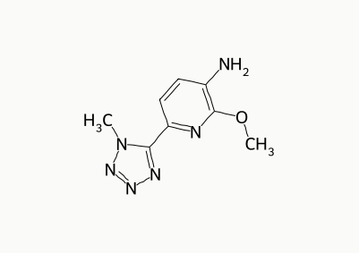 COc1nc(-c2nnnn2C)ccc1N